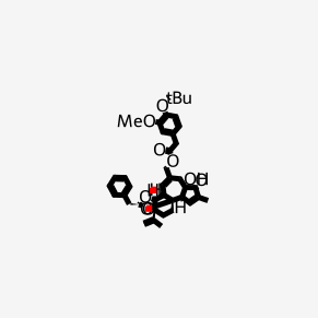 C=C(C)[C@]12CC[C@@]34O[C@](Cc5ccccc5)(O[C@@H]1[C@@H]3C=C(COC(=O)Cc1ccc(OC(C)(C)C)c(OC)c1)C[C@]1(O)C(=O)C(C)=C[C@@H]41)O2